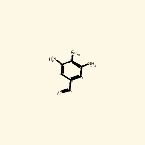 Nc1cc([C]=O)cc(N)c1N